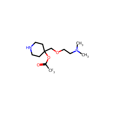 CN(C)CCOCC1(OC(=O)C(F)(F)F)CCNCC1